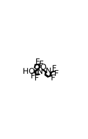 O=C(c1ccc(F)c(C(F)F)n1)N1CC(F)(F)[C@@H](O)[C@@]12CCC(F)(F)C2